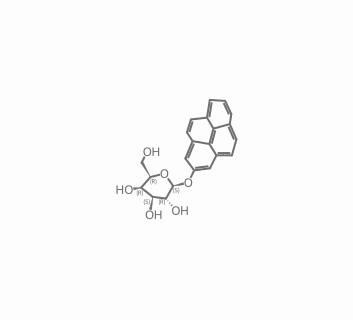 OC[C@H]1O[C@@H](Oc2cc3ccc4cccc5ccc(c2)c3c45)[C@H](O)[C@@H](O)[C@H]1O